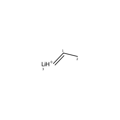 C=CC.[LiH]